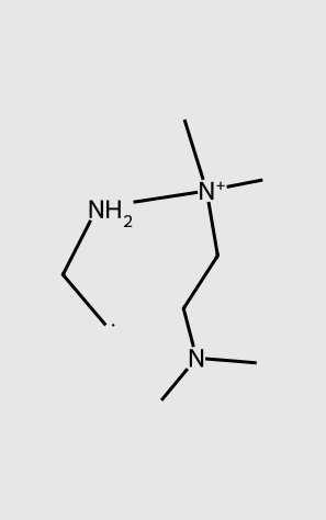 CN(C)CC[N+](C)(C)C.[CH2]CN